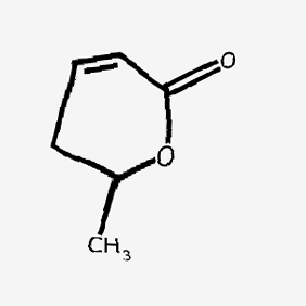 CC1CC=CC(=O)O1